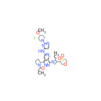 C=CC(=O)N1CCCC1c1nnc(N2CC(C3COCCS3(=O)=O)C2C)c2cnc(Nc3ccnc(N4CC[C@@H](OC)[C@@H](F)C4)n3)cc12